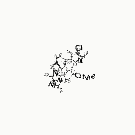 COC1CCC(C2(c3cc(-c4cnc(C)c(Cl)c4)ccc3C)N=C(C)C(N)=N2)CC1